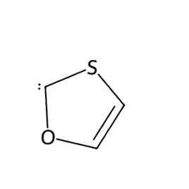 [C]1OC=CS1